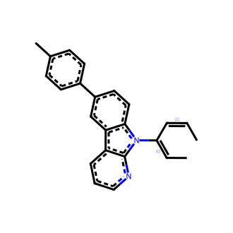 C/C=C\C(=C/C)n1c2ccc(-c3ccc(C)cc3)cc2c2cccnc21